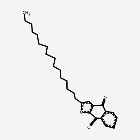 CCCCCCCCCCCCCCCCc1cc2c(o1)C(=O)c1ccccc1C2=O